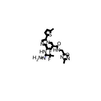 Cc1noc(CNC(=O)c2cc(N/C(=N\N)C(C)(F)F)c3ncc(-c4ccc(C)s4)n3c2)n1